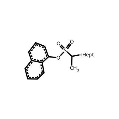 CCCCCCCC(C)S(=O)(=O)Oc1cccc2ccccc12